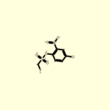 O=[N+]([O-])c1cc(Cl)ccc1OS(=O)(=O)CF